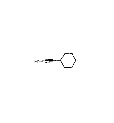 CCC#CC1CC[CH]CC1